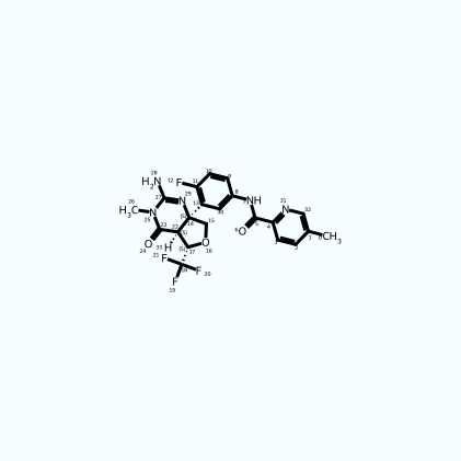 Cc1ccc(C(=O)Nc2ccc(F)c([C@]34CO[C@H](C(F)(F)F)[C@H]3C(=O)N(C)C(N)=N4)c2)nc1